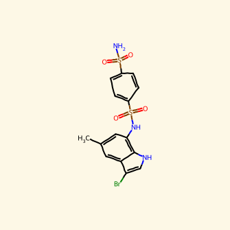 Cc1cc(NS(=O)(=O)c2ccc(S(N)(=O)=O)cc2)c2[nH]cc(Br)c2c1